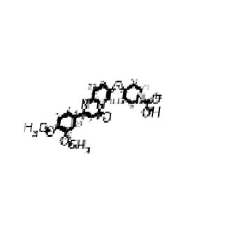 COc1ccc(-c2cc(=O)n3cc(OC4CCN(C(=O)O)CC4)ccc3n2)cc1OC